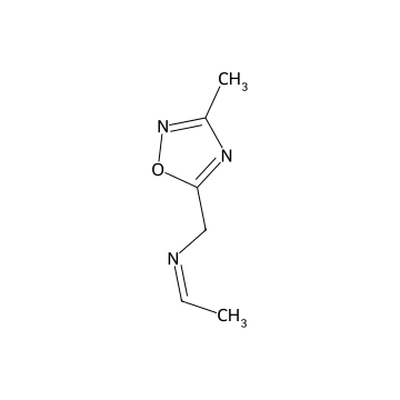 C/C=N\Cc1nc(C)no1